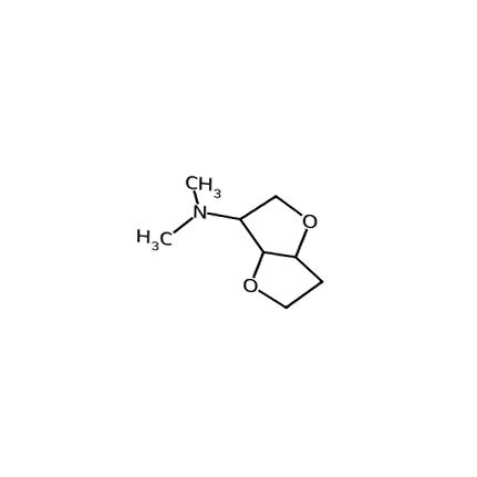 CN(C)C1COC2CCOC21